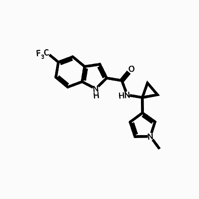 Cn1ccc(C2(NC(=O)c3cc4cc(C(F)(F)F)ccc4[nH]3)CC2)c1